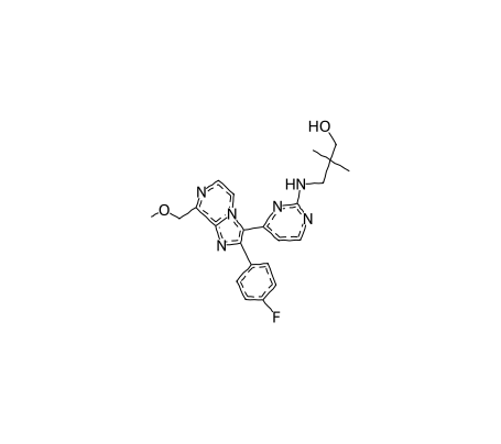 COCc1nccn2c(-c3ccnc(NCC(C)(C)CO)n3)c(-c3ccc(F)cc3)nc12